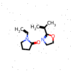 C=C(C)C1=NCCO1.C=CN1CCCC1=O